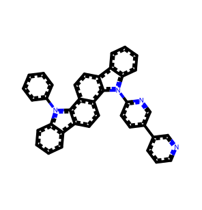 c1ccc(-n2c3ccccc3c3ccc4c(ccc5c6ccccc6n(-c6ccc(-c7cccnc7)cn6)c54)c32)cc1